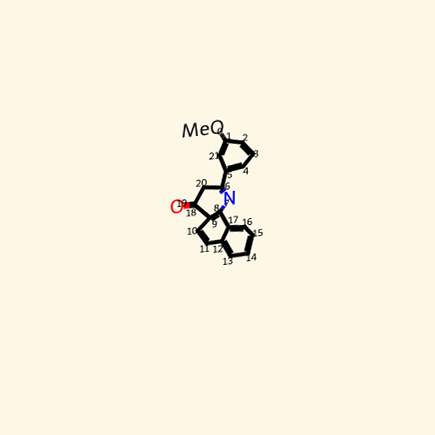 COc1cccc(C2=Nc3c(ccc4ccccc34)C(=O)C2)c1